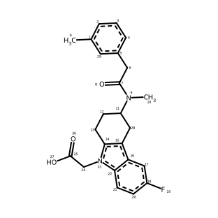 Cc1cccc(CC(=O)N(C)C2CCc3c(c4cc(F)ccc4n3CC(=O)O)C2)c1